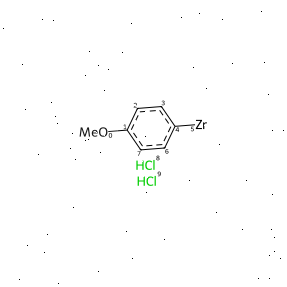 COc1cc[c]([Zr])cc1.Cl.Cl